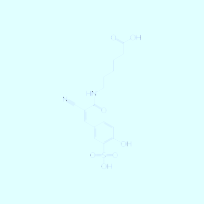 N#CC(=Cc1ccc(O)c(S(=O)(=O)O)c1)C(=O)NCCCCCC(=O)O